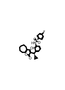 O=c1oc2c(c(O)c1[C@@H](c1cccc(NS(=O)(=O)c3ccc(F)cc3)c1)C1CC1)CCCCCC2